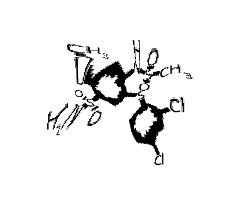 COc1cc(NS(C)(=O)=O)c(Sc2ccc(Cl)cc2Cl)cc1S(N)(=O)=O